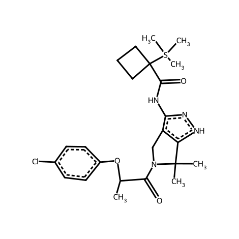 CC(Oc1ccc(Cl)cc1)C(=O)N1Cc2c(NC(=O)C3(S(C)(C)C)CCC3)n[nH]c2C1(C)C